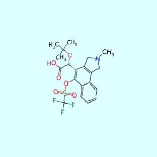 CN1Cc2c(C(OC(C)(C)C)C(=O)O)c(OS(=O)(=O)C(F)(F)F)c3ccccc3c2C1